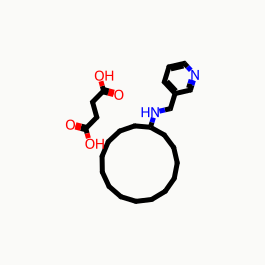 O=C(O)CCC(=O)O.c1cncc(CNC2CCCCCCCCCCCCCC2)c1